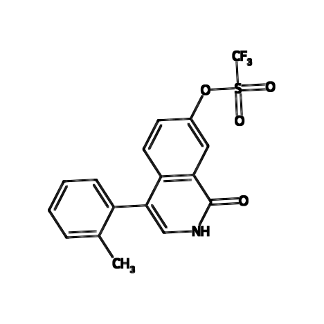 Cc1ccccc1-c1c[nH]c(=O)c2cc(OS(=O)(=O)C(F)(F)F)ccc12